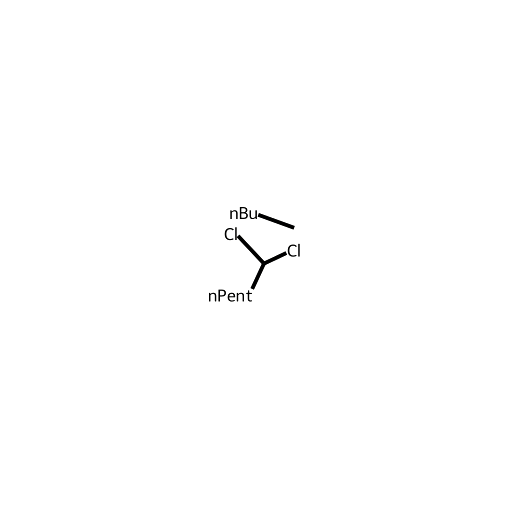 CCCCC.CCCCCC(Cl)Cl